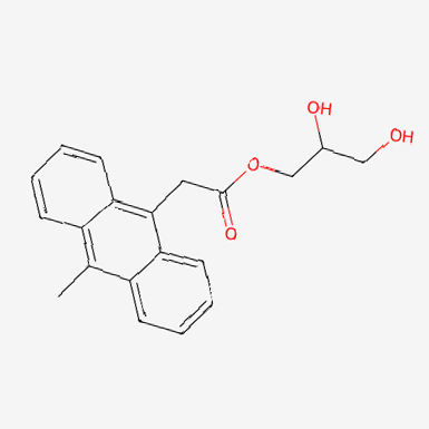 Cc1c2ccccc2c(CC(=O)OCC(O)CO)c2ccccc12